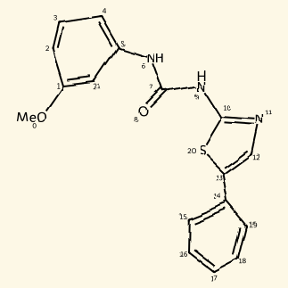 COc1cccc(NC(=O)Nc2ncc(-c3ccccc3)s2)c1